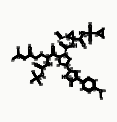 C=C[C@@H]1C[C@]1(NC(=O)[C@@H]1C[C@@H](N2N=C(c3ccc(OC)cc3)NN2)CN1C(=O)[C@H](CCC(=O)C=C(C)C)NC(=O)OC(C)(C)C)C(=O)NS(=O)(=O)C1CC1